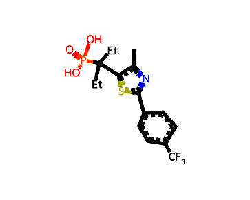 CCC(CC)(c1sc(-c2ccc(C(F)(F)F)cc2)nc1C)P(=O)(O)O